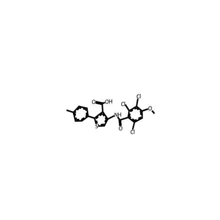 COc1cc(Cl)c(C(=O)Nc2csc(-c3ccc(C)cc3)c2C(=O)O)c(Cl)c1Cl